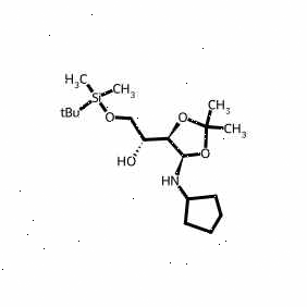 CC1(C)O[C@H]([C@H](O)CO[Si](C)(C)C(C)(C)C)[C@H](NC2CCCC2)O1